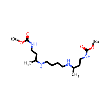 CC(CCNC(=O)OC(C)(C)C)NCCCCNC(C)CCNC(=O)OC(C)(C)C